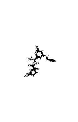 C#CCOc1cc([C@@H](CCC)NC(=O)C2(C)CSC(C(C)=O)=N2)oc(=O)c1